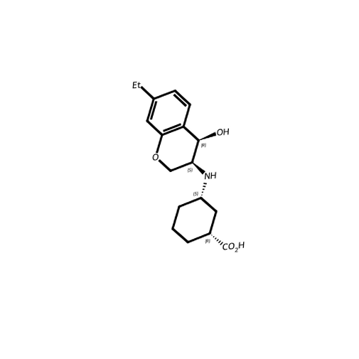 CCc1ccc2c(c1)OC[C@H](N[C@H]1CCC[C@@H](C(=O)O)C1)[C@@H]2O